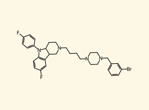 Fc1ccc(N2c3ccc(F)cc3C3CN(CCCCN4CCN(Cc5cccc(Br)c5)CC4)CCC32)cc1